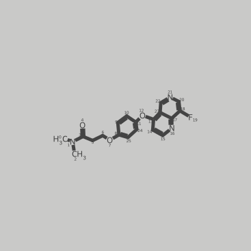 CN(C)C(=O)CCOc1ccc(Oc2ccnc3c(F)cncc23)cc1